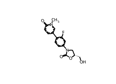 Cn1cc(-c2ccc(N3C[C@H](CO)OC3=O)cc2F)ccc1=O